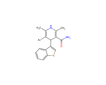 CC(=O)C1=C(C)NC(C)=C(C(N)=O)C1c1csc2ccccc12